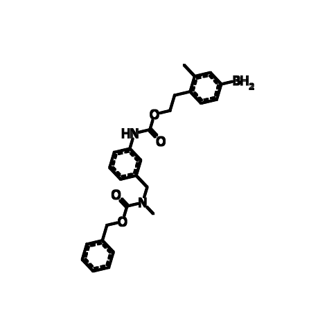 Bc1ccc(CCOC(=O)Nc2cccc(CN(C)C(=O)OCc3ccccc3)c2)c(C)c1